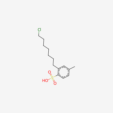 Cc1ccc(S(=O)(=O)O)c(CCCCCCCCl)c1